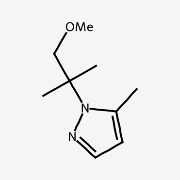 COCC(C)(C)n1nccc1C